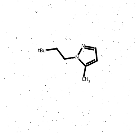 Cc1ccnn1CCC(C)(C)C